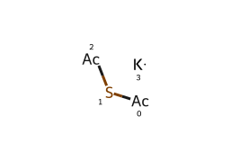 CC(=O)SC(C)=O.[K]